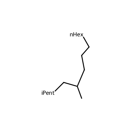 CCCCCCCCCC(C)CC(C)CCC